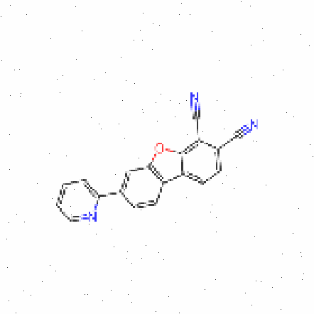 N#Cc1ccc2c(oc3cc(-c4ccccn4)ccc32)c1C#N